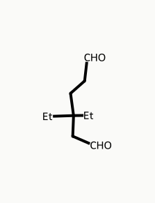 CCC(CC)(CC=O)CCC=O